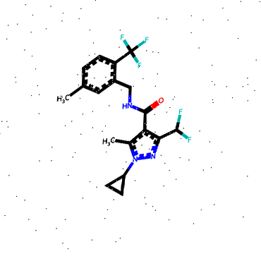 Cc1ccc(C(F)(F)F)c(CNC(=O)c2c(C(F)F)nn(C3CC3)c2C)c1